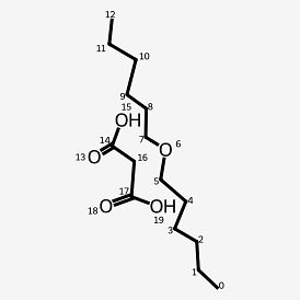 CCCCCCOCCCCCC.O=C(O)CC(=O)O